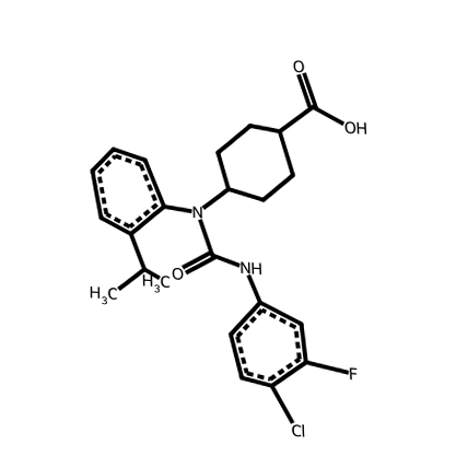 CC(C)c1ccccc1N(C(=O)Nc1ccc(Cl)c(F)c1)C1CCC(C(=O)O)CC1